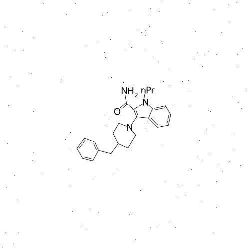 CCCn1c(C(N)=O)c(N2CCC(Cc3ccccc3)CC2)c2ccccc21